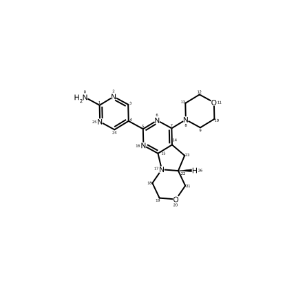 Nc1ncc(-c2nc(N3CCOCC3)c3c(n2)N2CCOC[C@H]2C3)cn1